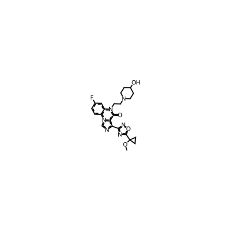 COC1(c2nc(-c3ncn4c3c(=O)n(CCN3CCC(O)CC3)c3cc(F)ccc34)no2)CC1